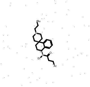 CCN(C(=O)CCC(C)=O)[C@H]1CCC2(CCN(CCC(C)(C)C)CC2)c2ccccc21